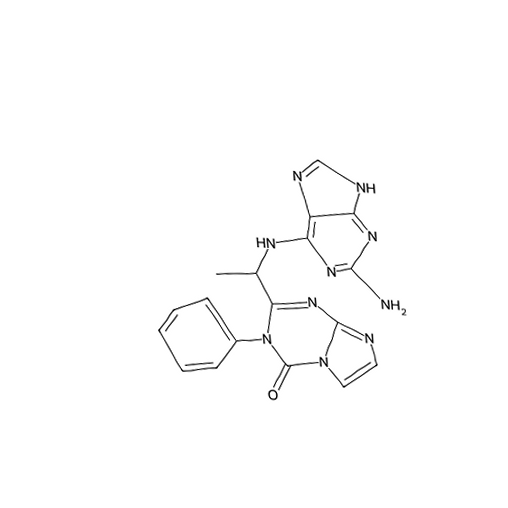 CC(Nc1nc(N)nc2[nH]cnc12)c1nc2nccn2c(=O)n1-c1ccccc1